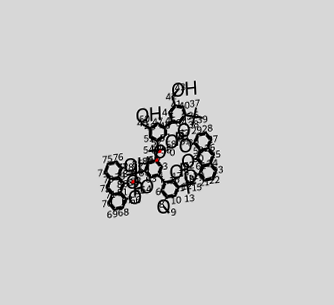 COc1cc(-c2cc(OC)cc(C(C)(C)C)c2OP2Oc3cccc4cc5cccc(Op6oc7c(C(C)(C)C)cc(CO)cc7c7cc(CO)cc(C(C)(C)C)c7o6)c5c(c34)O2)c(OP2Oc3cccc4cc5cccc(O)c5c(c34)O2)c(C(C)(C)C)c1